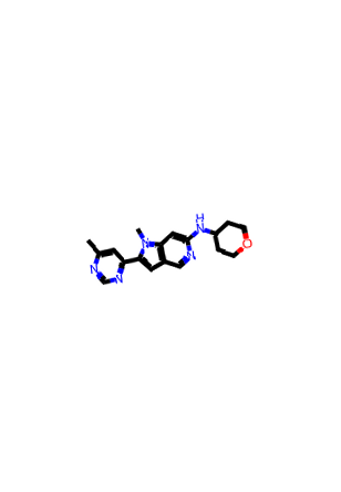 Cc1cc(-c2cc3cnc(NC4CCOCC4)cc3n2C)ncn1